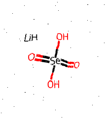 O=[Se](=O)(O)O.[LiH]